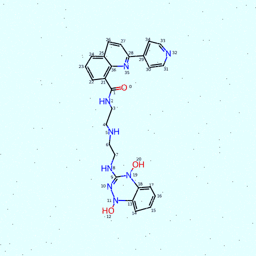 O=C(NCCNCCNC1=NN(O)c2ccccc2N1O)c1cccc2ccc(-c3ccncc3)nc12